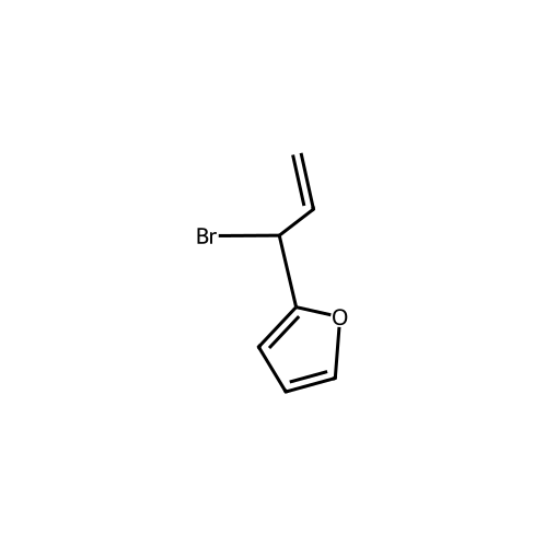 C=CC(Br)c1ccco1